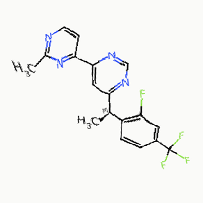 Cc1nccc(-c2cc([C@H](C)c3ccc(C(F)(F)F)cc3F)ncn2)n1